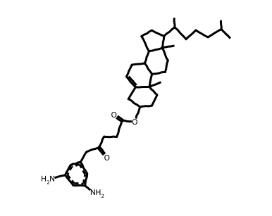 CC(C)CCCC(C)C1CCC2C3CC=C4CC(OC(=O)CCC(=O)Cc5cc(N)cc(N)c5)CCC4(C)C3CCC12C